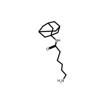 NCCCCCC(=O)NC12CC3CC(CC(C3)C1)C2